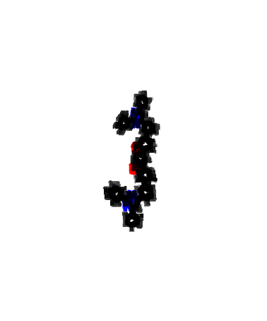 C1=CCCC(c2cc(C3C=CC=C(c4ccc5c(c4)oc4cc6oc7cc(-c8cccc(-c9cc(-c%10ccccc%10)nc(-c%10ccccc%10)n9)c8)ccc7c6cc45)C3)nc(-c3ccccc3)n2)=C1